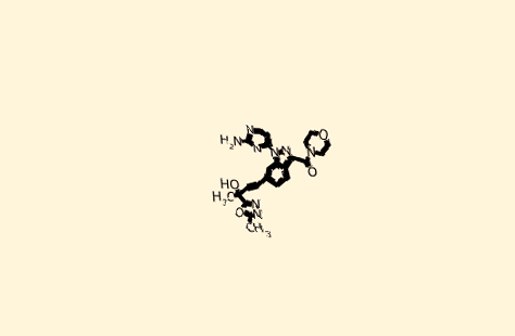 Cc1nnc(C(C)(O)C#Cc2ccc3c(C(=O)N4CCOCC4)nn(-c4ccnc(N)n4)c3c2)o1